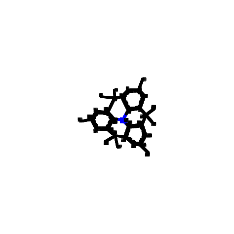 Cc1cc2c3c(c1)C(C)(C)c1cc(C)cc4c1N3c1c(cc(C)cc1C4(C)C)C2(C)C